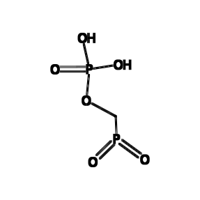 O=P(=O)COP(=O)(O)O